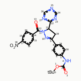 CC(C)(C)OC(=O)Nc1ccc(C2=NN(C(=O)c3ccc([N+](=O)[O-])cc3)C(c3ncncn3)C2)cc1